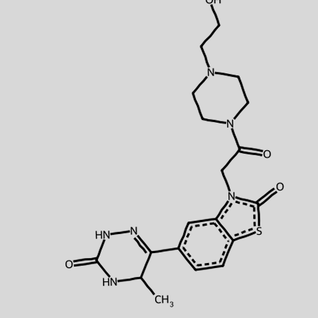 CC1NC(=O)NN=C1c1ccc2sc(=O)n(CC(=O)N3CCN(CCO)CC3)c2c1